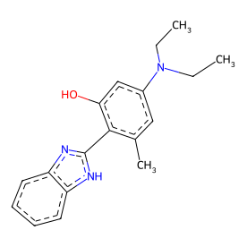 CCN(CC)c1cc(C)c(-c2nc3ccccc3[nH]2)c(O)c1